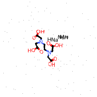 O=C(O)CN(CCN(CC(=O)O)CC(=O)O)CC(=O)O.[Mn].[NaH].[NaH]